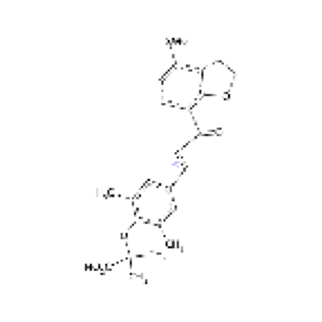 CSc1ccc(C(=O)/C=C/c2cc(C)c(OC(C)(C)C(=O)O)c(C)c2)c2c1CCO2